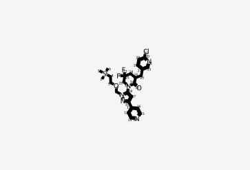 C[Si](C)(C)CCOCn1nc(-c2ccncc2)cc1N1CC(F)(F)CC(Cc2ccc(Cl)nc2)C1=O